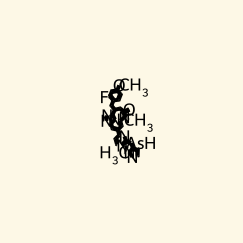 COc1ccc(CC2CC(=O)N(C)c3cc(-c4ccnc([AsH]c5ccnn5C)n4)cc4nnc2n34)c(F)c1